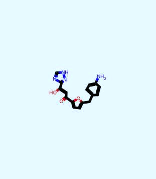 Nc1ccc(Cc2ccc(C(=O)C=C(O)c3nc[nH]n3)o2)cc1